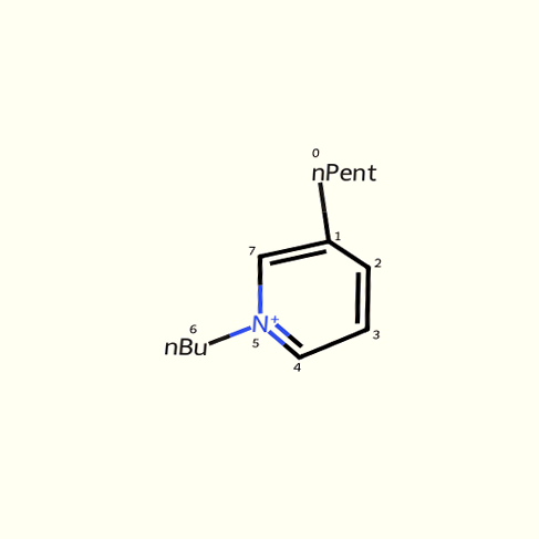 CCCCCc1ccc[n+](CCCC)c1